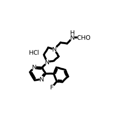 Cl.O=CNCCN1CCN(c2nccnc2-c2ccccc2F)CC1